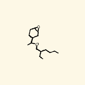 CCCCC(CC)COC(C)C1CCC2OC2C1